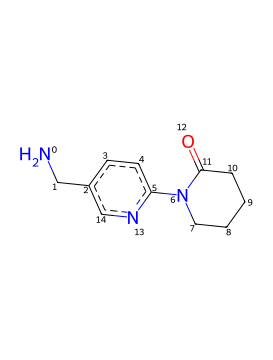 NCc1ccc(N2CCCCC2=O)nc1